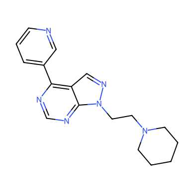 c1cncc(-c2ncnc3c2cnn3CCN2CCCCC2)c1